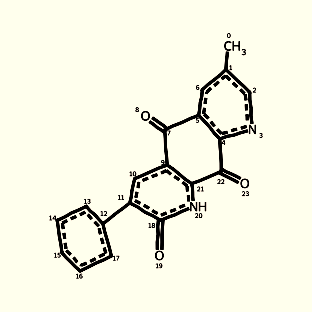 Cc1cnc2c(c1)C(=O)c1cc(-c3ccccc3)c(=O)[nH]c1C2=O